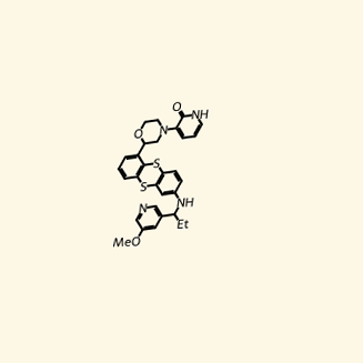 CCC(Nc1ccc2c(c1)Sc1cccc(C3CN(c4ccc[nH]c4=O)CCO3)c1S2)c1cncc(OC)c1